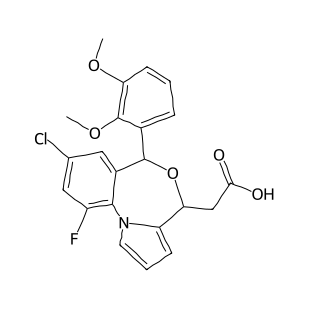 COc1cccc(C2OC(CC(=O)O)c3cccn3-c3c(F)cc(Cl)cc32)c1OC